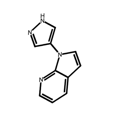 c1cnc2c(c1)ccn2-c1cn[nH]c1